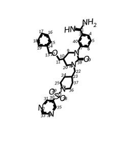 N=C(N)c1cccc(N2CC(COCc3ccccc3)CN(CC3CCN(S(=O)(=O)c4cncnc4)CC3)C2=O)c1